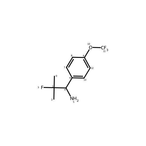 CC(C)(F)C(N)c1ccc(OC(F)(F)F)cc1